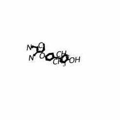 CC(C)(c1ccc(O)cc1)c1ccc(Oc2cccc(C#N)c2C#N)cc1